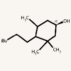 CCC(C)CCC1C(C)C[C@@H](O)CC1(C)C